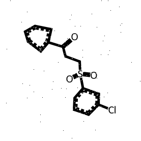 O=C(CCS(=O)(=O)c1cccc(Cl)c1)c1ccccc1